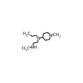 CCCN(CCNC)C1CCN(C)CC1